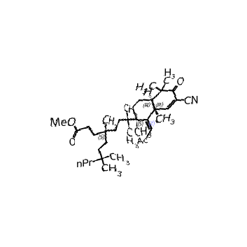 CCCC(C)(C)CC[C@](C)(CCC(=O)OC)CCC(C)(C)[C@]1(C)CC[C@H]2C(C)(C)C(=O)C(C#N)=C[C@]2(C)/C1=C/C(C)=O